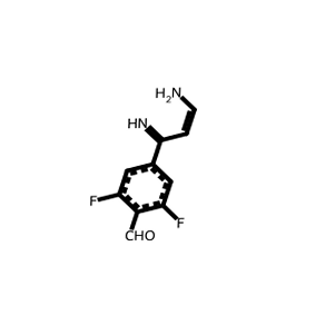 N=C(/C=C\N)c1cc(F)c(C=O)c(F)c1